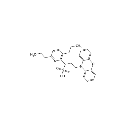 CCCc1ccc(CCC)c(C(CCN2c3ccccc3Oc3ccccc32)S(=O)(=O)O)n1